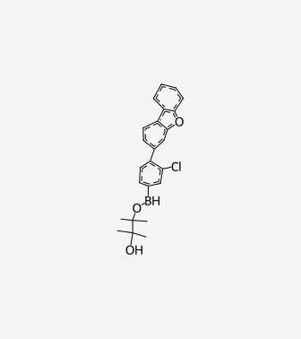 CC(C)(O)C(C)(C)OBc1ccc(-c2ccc3c(c2)oc2ccccc23)c(Cl)c1